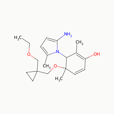 CCOCC1(COC2(C)C=CC(O)=C(C)C2n2c(C)ccc2N)CC1